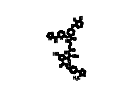 Cc1ncsc1-c1ccc(CNC(=O)[C@@H]2C[C@@H](O)CN2C(=O)[C@@H](NC(=O)CCNC(=O)[C@]2(Cc3cccc(Nc4nccs4)n3)CC[C@@H](Oc3cccc(Cl)c3F)CC2)C(C)(C)C)cc1